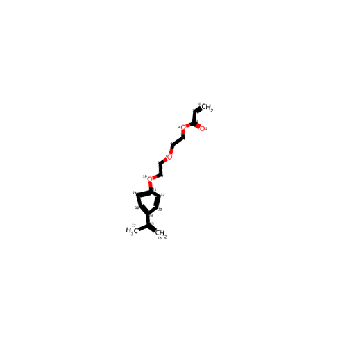 C=CC(=O)OCCOCCOc1ccc(C(=C)C)cc1